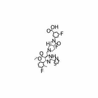 CCOC(=O)C1=C(CN2CC[C@]3(F)C(=O)N(c4cc(F)cc(C(=O)O)c4)C[C@@H]3C2)NC(c2nccs2)=N[C@H]1c1cccc(F)c1C